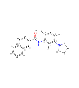 Cc1cc(C)c(N2CCCC2)c(C)c1NC(=O)c1ccc2ccccc2c1